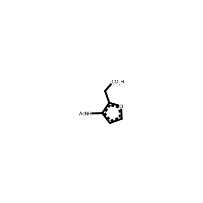 CC(=O)Nc1ccoc1CC(=O)O